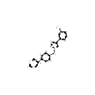 Clc1cccc(-c2cn(Cc3ccc(-c4cncnc4)cc3)nn2)c1